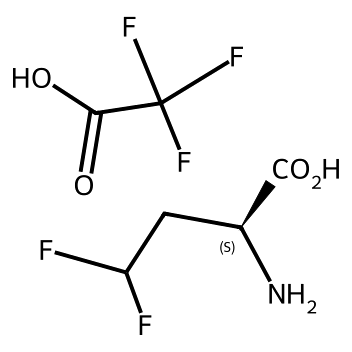 N[C@@H](CC(F)F)C(=O)O.O=C(O)C(F)(F)F